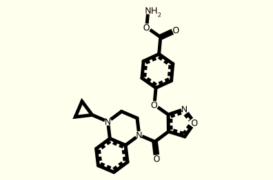 NOC(=O)c1ccc(Oc2nocc2C(=O)N2CCN(C3CC3)c3ccccc32)cc1